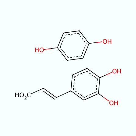 O=C(O)/C=C/c1ccc(O)c(O)c1.Oc1ccc(O)cc1